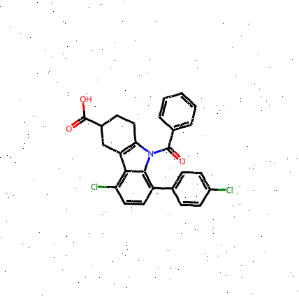 O=C(O)C1CCc2c(c3c(Cl)ccc(-c4ccc(Cl)cc4)c3n2C(=O)c2ccccc2)C1